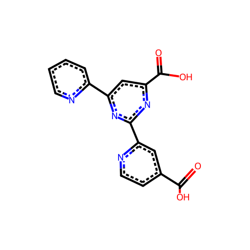 O=C(O)c1ccnc(-c2nc(C(=O)O)cc(-c3ccccn3)n2)c1